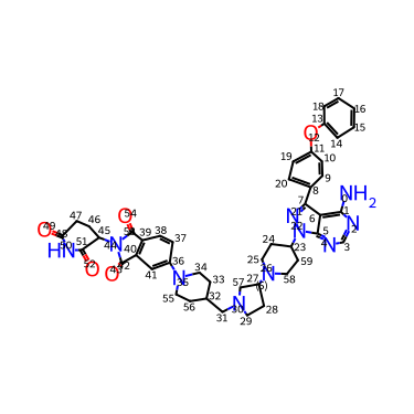 Nc1ncnc2c1c(-c1ccc(Oc3ccccc3)cc1)nn2C1CCN([C@H]2CCN(CC3CCN(c4ccc5c(c4)C(=O)N(C4CCC(=O)NC4=O)C5=O)CC3)C2)CC1